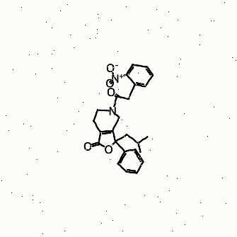 CC(C)CC1(c2ccccc2)OC(=O)C2=C1CN(C(=O)Cc1ccccc1[N+](=O)[O-])CC2